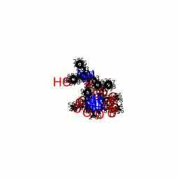 CC(C)[C@@H](NC(=O)[C@H](CCC(=O)OC(C)(C)C)NC(=O)[C@H](CC(=O)OC(C)(C)C)NC(=O)OCc1ccccc1)C(=O)N[C@H](CC(=O)OC(C)(C)C)C(=O)Nc1ccc(COc2c(Cc3ccccc3)nc3c(Cc4ccccc4)nc(-c4ccc(O)cc4)cn23)cc1